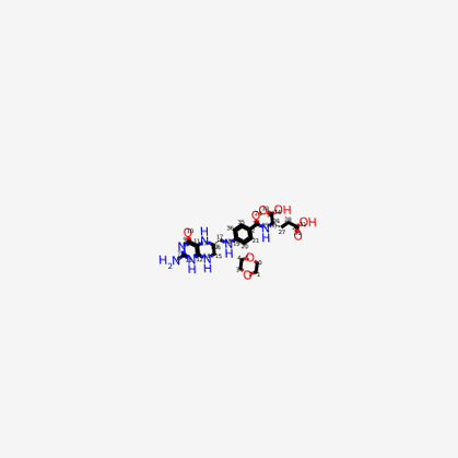 C1COCCO1.Nc1nc(=O)c2c([nH]1)NC[C@@H](CNc1ccc(C(=O)N[C@@H](CCC(=O)O)C(=O)O)cc1)N2